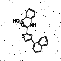 O=C(Nc1ccccc1C(=O)O)c1cc(-c2cccc3ccccc23)cs1